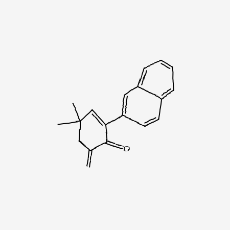 C=C1CC(C)(C)C=C(c2ccc3ccccc3c2)C1=O